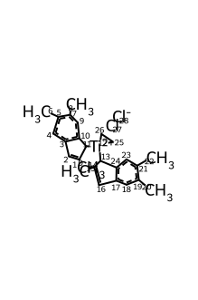 CC1=Cc2cc(C)c(C)cc2[CH]1[Ti+2]1([CH]2C(C)=Cc3cc(C)c(C)cc32)[CH2][CH2]1.[Cl-].[Cl-]